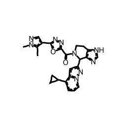 Cc1c(-c2nnc(C(=O)N3CCc4[nH]cnc4C3c3cc4c(C5CC5)cccn4n3)o2)cnn1C